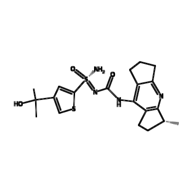 C[C@@H]1CCc2c1nc1c(c2NC(=O)N=[S@](N)(=O)c2cc(C(C)(C)O)cs2)CCC1